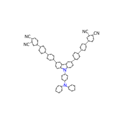 N#Cc1ccc(-c2ccc(-c3ccc(-c4ccc5c(c4)c4cc(-c6ccc(-c7ccc(-c8ccc(C#N)c(C#N)c8)cc7)cc6)ccc4n5-c4ccc(N(c5ccccc5)c5ccccc5)cc4)cc3)cc2)cc1C#N